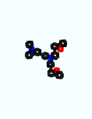 c1ccc(-n2c3ccccc3c3cc(-c4ccc(N(c5ccc(-c6cccc7c6oc6ccccc67)cc5)c5cccc(-c6cccc7c6oc6ccccc67)c5)cc4)ccc32)cc1